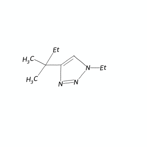 CCn1cc(C(C)(C)CC)nn1